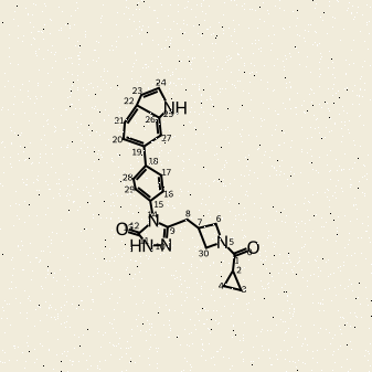 O=C(C1CC1)N1CC(Cc2n[nH]c(=O)n2-c2ccc(-c3ccc4cc[nH]c4c3)cc2)C1